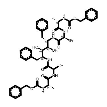 CC(C)C(NC(=O)[C@H](C)NC(=O)OCc1ccccc1)C(=O)N[C@@H](Cc1ccccc1)[C@@H](O)[C@H](O)[C@H](Cc1ccccc1)NC(=O)[C@@H](NC(=O)[C@H](C)NC(=O)OCc1ccccc1)C(C)C